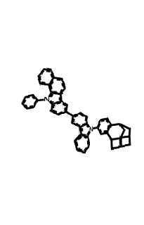 c1ccc(-n2c3ccc(-c4ccc5c(c4)c4ccccc4n5-c4ccc5c(c4)C4CC6CC7CC5CC764)cc3c3ccc4ccccc4c32)cc1